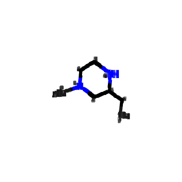 CCCCN1CCNC(CC(C)(C)C)C1